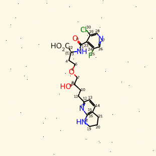 O=C(N[C@@H](CCOC[C@@H](O)CCc1ccc2c(n1)NCCC2)C(=O)O)c1c(F)cncc1Cl